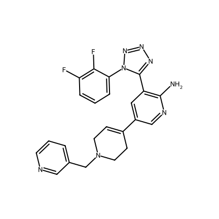 Nc1ncc(C2=CCN(Cc3cccnc3)CC2)cc1-c1nnnn1-c1cccc(F)c1F